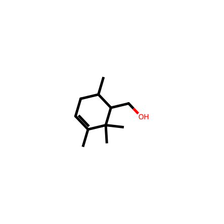 CC1=CCC(C)C(CO)C1(C)C